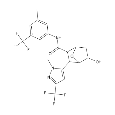 Cc1cc(NC(=O)C2C3CC(O)C(O3)C2c2cc(C(F)(F)F)nn2C)cc(C(F)(F)F)c1